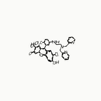 O=C(O)c1ccc(NCCN(Cc2ccccn2)Cc2ccccn2)cc1-c1c2cc(Cl)c(=O)cc-2oc2cc(O)c(Cl)cc12